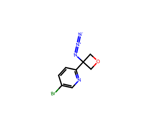 [N-]=[N+]=NC1(c2ccc(Br)cn2)COC1